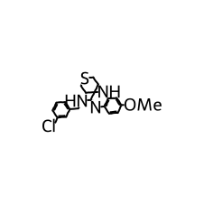 COc1ccc2c(c1)NC1(CCSCC1)C(NCc1cccc(Cl)c1)=N2